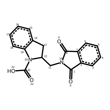 O=C1c2ccccc2C(=O)N1CC1Cc2ccccc2N1C(=O)O